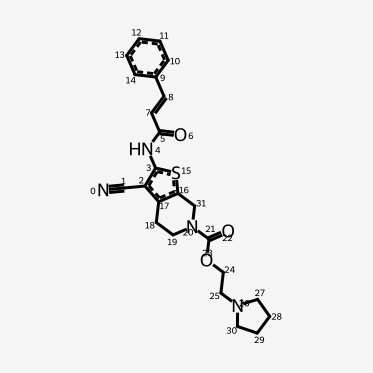 N#Cc1c(NC(=O)C=Cc2ccccc2)sc2c1CCN(C(=O)OCCN1CCCC1)C2